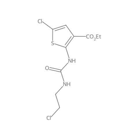 CCOC(=O)c1cc(Cl)sc1NC(=O)NCCCl